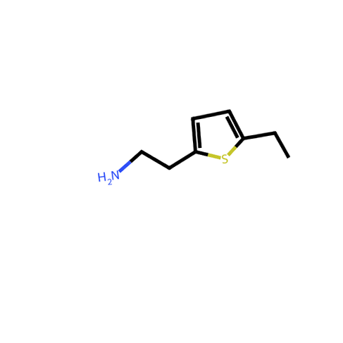 CCc1ccc(CCN)s1